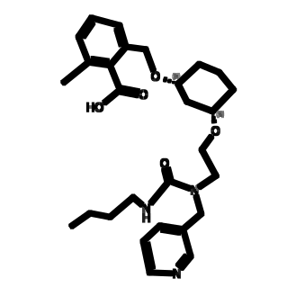 CCCCNC(=O)N(CCO[C@H]1CCC[C@@H](OCc2cccc(C)c2C(=O)O)C1)Cc1cccnc1